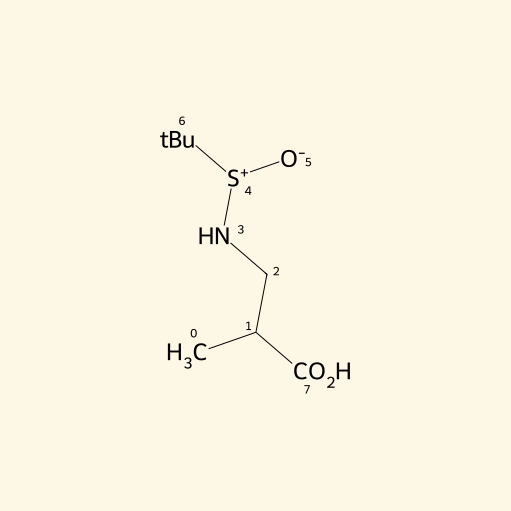 CC(CN[S+]([O-])C(C)(C)C)C(=O)O